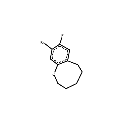 Fc1cc2c(cc1Br)OCCCCC2